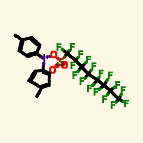 Cc1ccc([I+](OS(=O)(=O)C(F)(F)C(F)(F)C(F)(F)C(F)(F)C(F)(F)C(F)(F)C(F)(F)C(F)(F)F)c2ccc(C)cc2)cc1